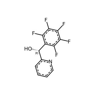 O[C@@H](c1ccccn1)c1c(F)c(F)c(F)c(F)c1F